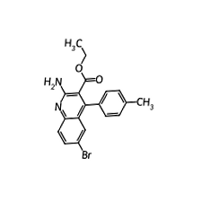 CCOC(=O)c1c(N)nc2ccc(Br)cc2c1-c1ccc(C)cc1